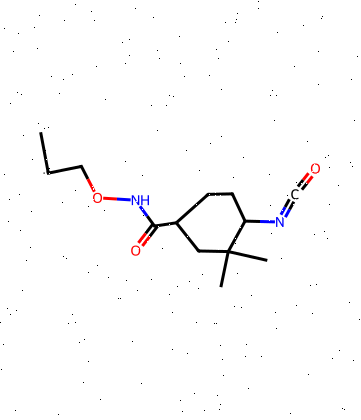 C[CH]CONC(=O)C1CCC(N=C=O)C(C)(C)C1